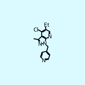 CCc1cnc2c(c(C)nn2Cc2ccncc2)c1Cl